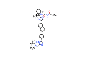 COC(=O)NCC(=O)N1[C@@H]2CCC[C@@H](C2)[C@@]1(C)c1ncc(-c2ccc3cc(-c4ccc(-c5cnc(CN(C)CC6(C)CC6)[nH]5)cc4)ccc3c2)[nH]1